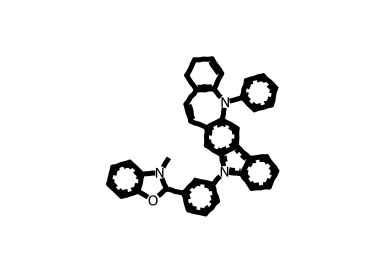 CN1c2ccccc2OC1c1cccc(-n2c3ccccc3c3cc4c(cc32)C=CC2=C(C=CCC2)N4c2ccccc2)c1